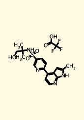 Cc1cc2c(-c3ccc(S(=O)(=O)NC(C)(C)CO)cn3)ccnc2[nH]1.O=C(O)C(F)(F)F